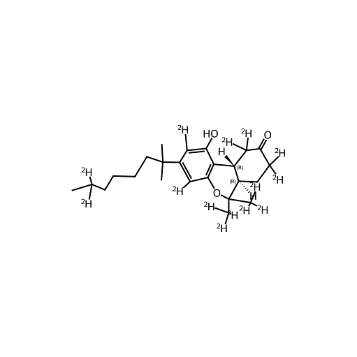 [2H]c1c(O)c2c(c([2H])c1C(C)(C)CCCCC([2H])([2H])C)OC(C([2H])([2H])[2H])(C([2H])([2H])[2H])[C@@H]1CC([2H])([2H])C(=O)C([2H])([2H])[C@@H]21